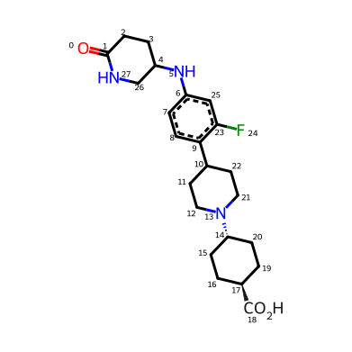 O=C1CCC(Nc2ccc(C3CCN([C@H]4CC[C@H](C(=O)O)CC4)CC3)c(F)c2)CN1